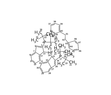 CC(C)(C)P(C1=Cc2ccccc2[CH]1[Hf][CH]1C(P(C(C)(C)C)C(C)(C)C)=Cc2ccccc21)C(C)(C)C.c1ccc(CCc2ccccc2)cc1